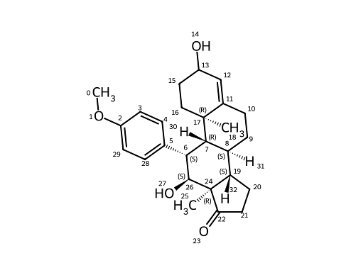 COc1ccc([C@@H]2[C@H]3[C@@H](CCC4=CC(O)CC[C@@]43C)[C@@H]3CCC(=O)[C@@]3(C)[C@H]2O)cc1